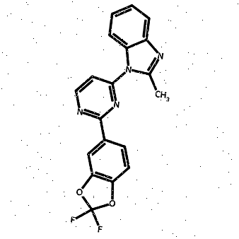 Cc1nc2ccccc2n1-c1ccnc(-c2ccc3c(c2)OC(F)(F)O3)n1